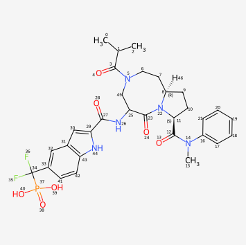 CC(C)C(=O)N1CC[C@H]2CC[C@@H](C(=O)N(C)c3ccccc3)N2C(=O)C(NC(=O)c2cc3cc(C(F)(F)P(=O)(O)O)ccc3[nH]2)C1